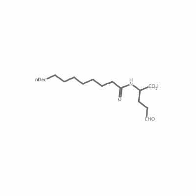 CCCCCCCCCCCCCCCCCC(=O)NC(CCC=O)C(=O)O